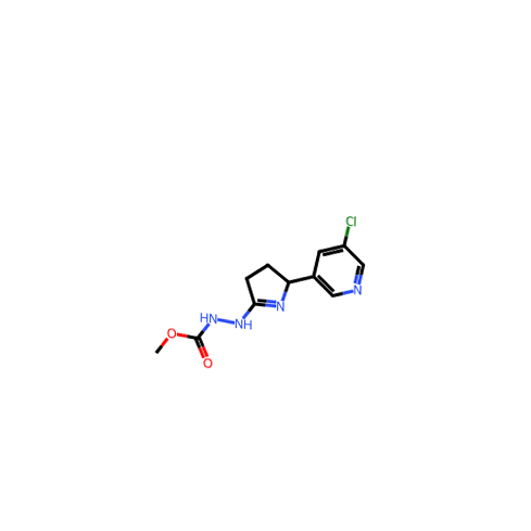 COC(=O)NNC1=NC(c2cncc(Cl)c2)CC1